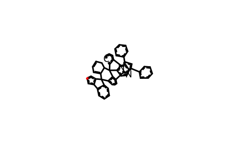 C1=CCC2C(=C1)C1(c3ccccc3-c3ccccc31)c1cccc(-c3nc(-c4ccccc4)cc(-c4ccccc4)n3)c1C21c2ccccc2-c2ccccc21